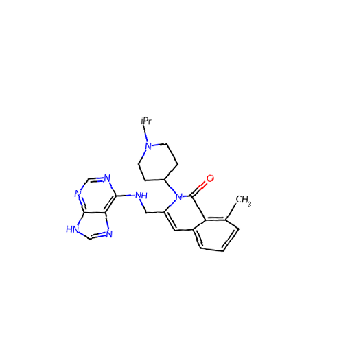 Cc1cccc2cc(CNc3ncnc4[nH]cnc34)n(C3CCN(C(C)C)CC3)c(=O)c12